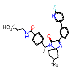 C[C@H](c1ccc(C(=O)NCCC(=O)O)cc1)N1C(=O)C(c2cccc(-c3ccc(F)nc3)c2)=NC12CCC(C(C)(C)C)CC2